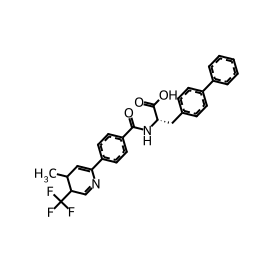 CC1C=C(c2ccc(C(=O)N[C@@H](Cc3ccc(-c4ccccc4)cc3)C(=O)O)cc2)N=CC1C(F)(F)F